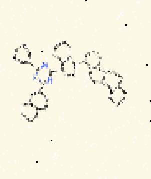 c1ccc(-c2nc(-c3ccc4ccccc4c3)nc(-c3ccc(-c4cccc5c4ccc4c6ccccc6ccc54)c4ccccc34)n2)cc1